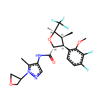 COc1c([C@H]2[C@H](C(=O)Nc3cnn(C4COC4)c3C)O[C@@](C)(C(F)(F)F)[C@H]2C)ccc(F)c1F